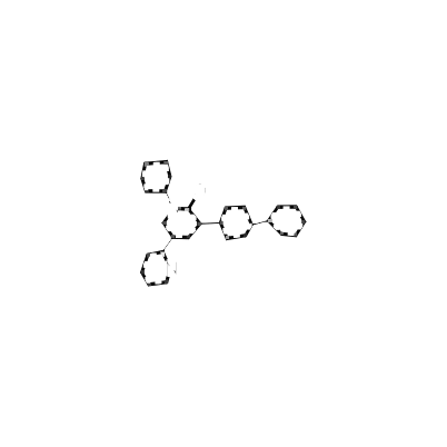 O=c1c(-c2ccc(-c3ccccc3)cc2)cc(-c2ccccn2)cn1-c1ccccc1